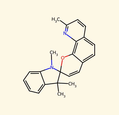 Cc1ccc2ccc3c(c2n1)OC1(C=C3)N(C)c2ccccc2C1(C)C